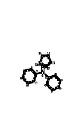 c1ccc(Nc2ccccc2)cc1.c1ccsc1